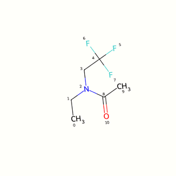 CCN(CC(F)(F)F)C(C)=O